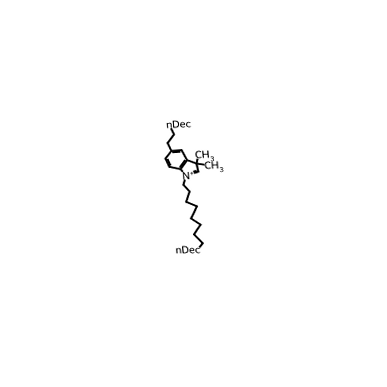 CCCCCCCCCCCCCCCCCC[N+]1=CC(C)(C)c2cc(CCCCCCCCCCCC)ccc21